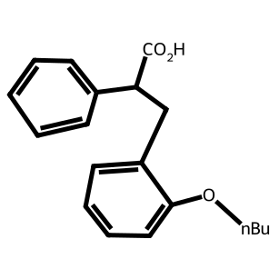 CCCCOc1ccccc1CC(C(=O)O)c1ccccc1